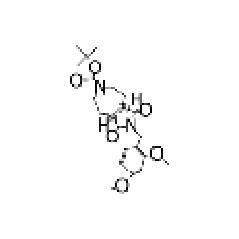 COc1ccc(CN2C(=O)[C@H]3CCN(C(=O)OC(C)(C)C)CC[C@H]3C2=O)c(OC)c1